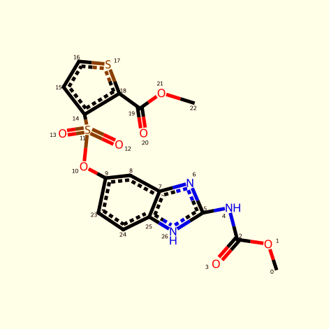 COC(=O)Nc1nc2cc(OS(=O)(=O)c3ccsc3C(=O)OC)ccc2[nH]1